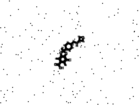 Cc1c(Cl)c2c(c(C)c1C(=O)O)OC(C)(C1CCC(CNC3COC3)CC1)O2